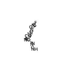 N#Cc1cnn2cc(-c3cnn(C4CCNCC4)c3)cc(-c3ccc(N4CCN(C(=O)Cc5ccc(F)cn5)CC4)nc3)c12